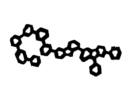 c1ccc(-c2cccc(-c3cccc(-c4cccc(-c5cccc(-c6cccc(-c7ccc8oc9c(-c%10ccc%11c(c%10)c%10ccc(-c%12ccccn%12)cc%10n%11-c%10ccccc%10)cccc9c8c7)c6)c5)c4)c3)c2)cc1